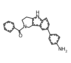 Nc1ccc(-c2ccc3[nH]c4c(c3c2)CN(C(=O)c2ccccc2)CC4)cc1